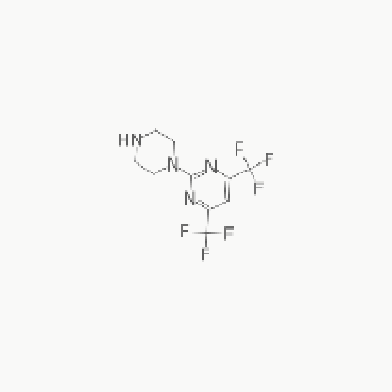 FC(F)(F)c1cc(C(F)(F)F)nc(N2CCNCC2)n1